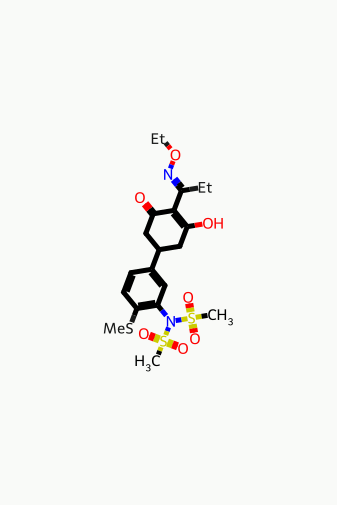 CCON=C(CC)C1=C(O)CC(c2ccc(SC)c(N(S(C)(=O)=O)S(C)(=O)=O)c2)CC1=O